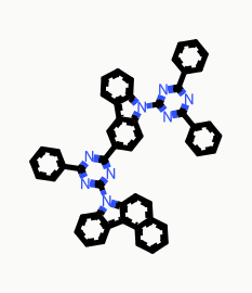 c1ccc(-c2nc(-c3ccccc3)nc(-n3c4ccccc4c4cc(-c5nc(-c6ccccc6)nc(-n6c7ccccc7c7c8ccccc8ccc76)n5)ccc43)n2)cc1